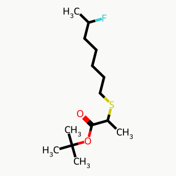 CC(F)CCCCCSC(C)C(=O)OC(C)(C)C